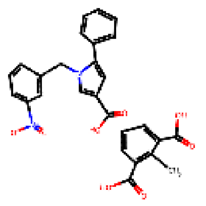 Cc1c(C(=O)O)cccc1C(=O)O.O=C(O)c1cc(-c2ccccc2)n(Cc2cccc([N+](=O)[O-])c2)c1